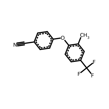 Cc1cc(C(F)(F)F)ccc1Oc1ccc(C#N)cc1